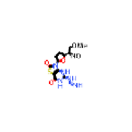 COCC(N=O)[C@@H]1CC[C@H](n2c3c(sc2=O)C(=O)NC(NN=N)N3)O1